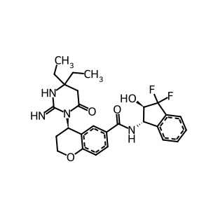 CCC1(CC)CC(=O)N([C@@H]2CCOc3ccc(C(=O)N[C@H]4c5ccccc5C(F)(F)[C@@H]4O)cc32)C(=N)N1